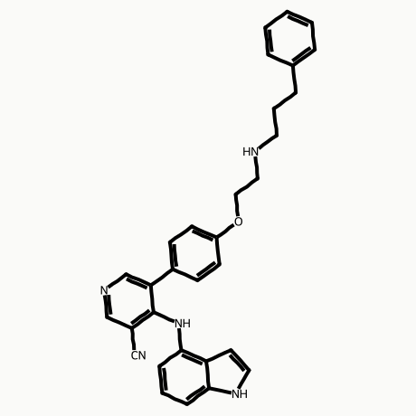 N#Cc1cncc(-c2ccc(OCCNCCCc3ccccc3)cc2)c1Nc1cccc2[nH]ccc12